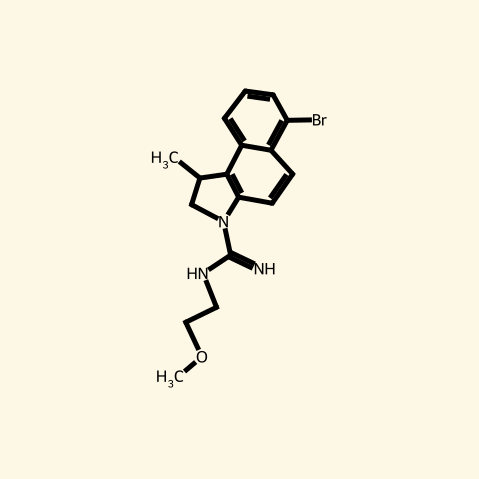 COCCNC(=N)N1CC(C)c2c1ccc1c(Br)cccc21